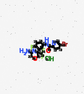 Cl.NC1=NC(c2cc(NC(=O)c3ccc(Br)cn3)ccc2F)(C(F)F)COC1